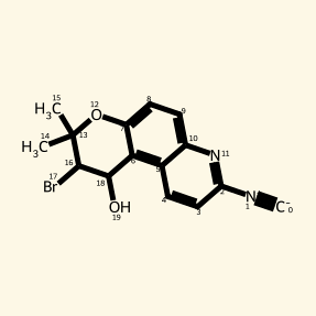 [C-]#[N+]c1ccc2c3c(ccc2n1)OC(C)(C)C(Br)C3O